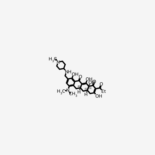 CCC(=O)C1=C(O)C[C@@H]2C[C@@H]3Cc4c(N(C)C)cc(CNC5CCN(C)CC5)c(O)c4C(=O)C3=C(O)[C@]2(O)C1=O